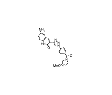 CO[C@@H]1CCN([S+]([O-])c2ccc(-n3cc(-c4cc5cc(N)ccc5[nH]c4=O)nn3)cc2)C1